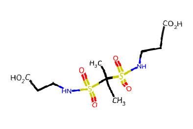 CC(C)(S(=O)(=O)NCCC(=O)O)S(=O)(=O)NCCC(=O)O